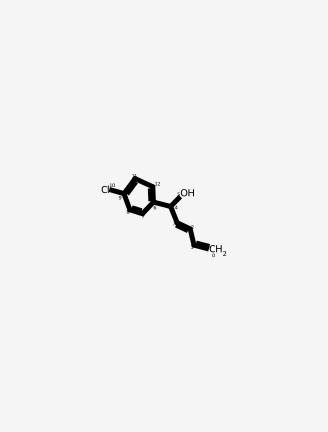 C=C/C=C/C(O)c1ccc(Cl)cc1